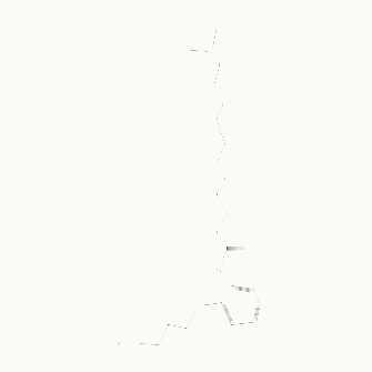 CC[S+]([O-])CCCCCCCCCCC(=O)Nc1ccccc1OCCCC(=O)O